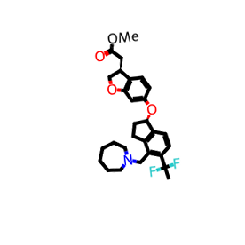 COC(=O)C[C@@H]1COc2cc(O[C@@H]3CCc4c3ccc(C(C)(F)F)c4CN3CCCCCC3)ccc21